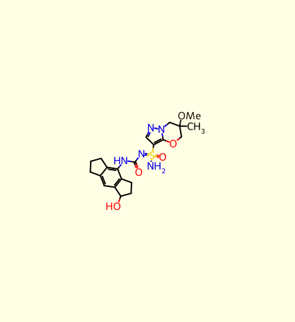 COC1(C)COc2c(S(N)(=O)=NC(=O)Nc3c4c(cc5c3CCC5O)CCC4)cnn2C1